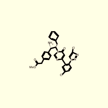 COC(=O)Cc1ccc([C@H](N)[C@H](Cc2ccccc2)n2cnc(-c3cc(Cl)ccc3-n3cc(Cl)nn3)cc2=O)cc1